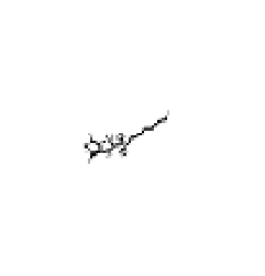 CCCCCCCCS(=O)(=O)c1nc2c(C)sc(C)c2s1